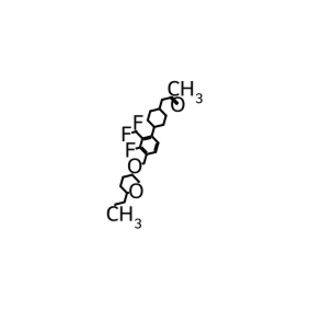 CCCC1CCC(OCc2ccc(C3CCC(CC(C)=O)CC3)c(C(F)F)c2F)CO1